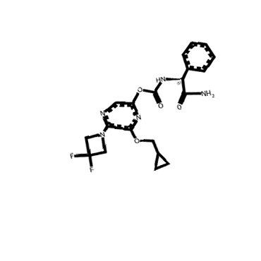 NC(=O)[C@@H](NC(=O)Oc1cnc(N2CC(F)(F)C2)c(OCC2CC2)n1)c1ccccc1